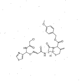 C=C1CS[C@H]2[C@H](NC(=O)C=NOC(NC(=O)CCl)c3cscn3)C(=O)N2C1C(=O)OCc1ccc(OC)cc1